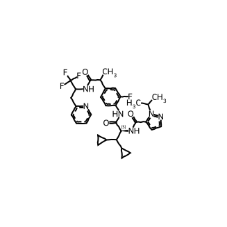 CC(C(=O)NC(Cc1ccccn1)C(F)(F)F)c1ccc(NC(=O)[C@@H](NC(=O)c2ccnn2C(C)C)C(C2CC2)C2CC2)c(F)c1